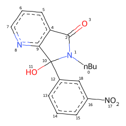 CCCCN1C(=O)c2cccnc2C1(O)c1cccc([N+](=O)[O-])c1